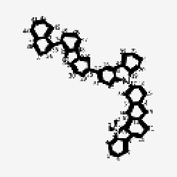 C[Si]1(C)c2ccccc2-c2ccc3cc4ccc(-n5c6ccccc6c6cc(-c7ccc8sc9c(-c%10cccc%11ccccc%10%11)cccc9c8c7)ccc65)cc4cc3c21